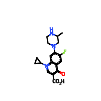 CC1CN(c2cc3c(cc2F)c(=O)c(C(=O)O)cn3C2CC2)CCN1